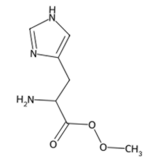 COOC(=O)C(N)Cc1c[nH]cn1